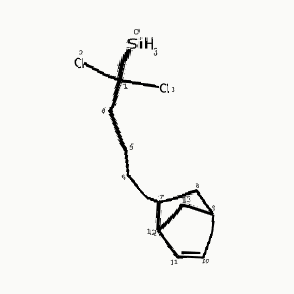 [SiH3]C(Cl)(Cl)CCCC1CC2C=CC1C2